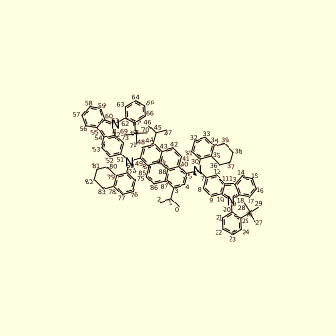 CC(C)c1cc(N(c2ccc3c(c2)c2ccccc2n3-c2ccccc2C(C)(C)C)c2cccc3c2CCCC3)c2ccc3c(C(C)C)cc(N(c4ccc5c6ccccc6n(-c6ccccc6C(C)(C)C)c5c4)c4cccc5c4CCCC5)c4ccc1c2c34